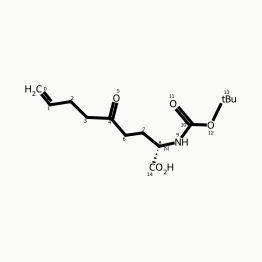 C=CCCC(=O)CC[C@H](NC(=O)OC(C)(C)C)C(=O)O